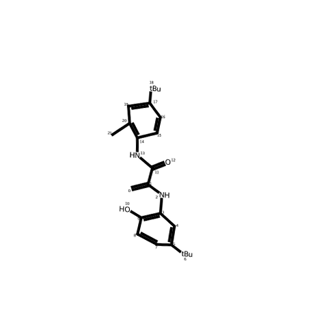 C=C(Nc1cc(C(C)(C)C)ccc1O)C(=O)Nc1ccc(C(C)(C)C)cc1C